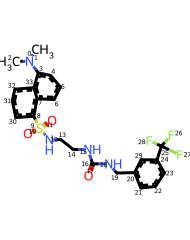 CN(C)c1cccc2c(S(=O)(=O)NCCNC(=O)NCc3cccc(C(F)(F)F)c3)cccc12